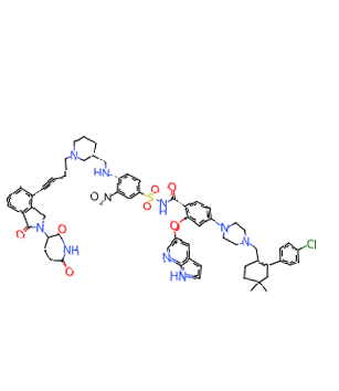 CC1(C)CCC(CN2CCN(c3ccc(C(=O)NS(=O)(=O)c4ccc(NCC5CCCN(CCC#Cc6cccc7c6CN(C6CCC(=O)NC6=O)C7=O)C5)c([N+](=O)[O-])c4)c(Oc4cnc5[nH]ccc5c4)c3)CC2)=C(c2ccc(Cl)cc2)C1